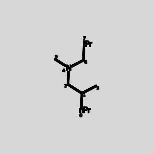 CCCC(C)CN(C)CC(C)C